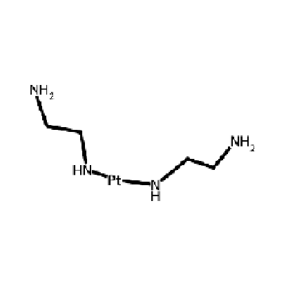 NCC[NH][Pt][NH]CCN